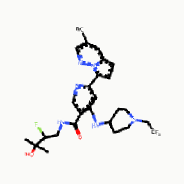 CC(C)(O)C(F)CNC(=O)c1cnc(-c2ccc3cc(C#N)cnn23)cc1NC1CCN(CC(F)(F)F)CC1